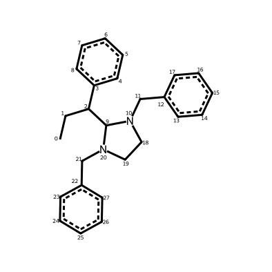 CCC(c1ccccc1)C1N(Cc2ccccc2)CCN1Cc1ccccc1